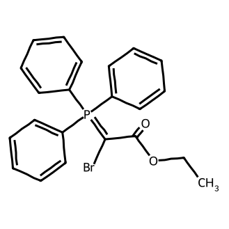 CCOC(=O)C(Br)=P(c1ccccc1)(c1ccccc1)c1ccccc1